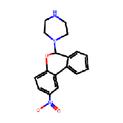 O=[N+]([O-])c1ccc2c(c1)-c1ccccc1C(N1CCNCC1)O2